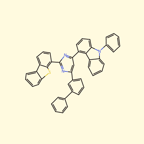 c1ccc(-c2cccc(-c3cc(-c4cccc5c4c4ccccc4n5-c4ccccc4)nc(-c4cccc5c4sc4ccccc45)n3)c2)cc1